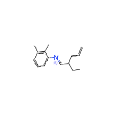 C=CCC(/C=N/c1cccc(C)c1C)CC